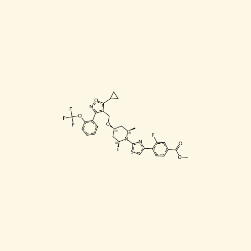 COC(=O)c1ccc(-c2csc(N3[C@H](C)C[C@H](OCc4c(-c5ccccc5OC(F)(F)F)noc4C4CC4)C[C@@H]3I)n2)c(F)c1